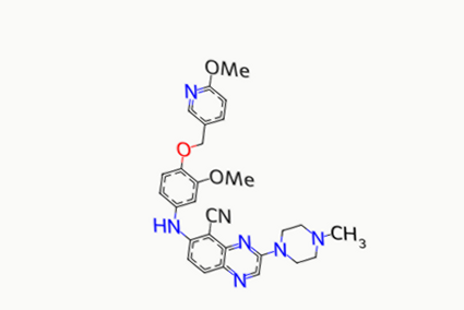 COc1ccc(COc2ccc(Nc3ccc4ncc(N5CCN(C)CC5)nc4c3C#N)cc2OC)cn1